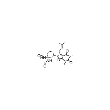 CC(C)=CCn1c(C2CCCC(NC=O)(NC=O)C2)nc2c1c(=O)n(C)c(=O)n2C